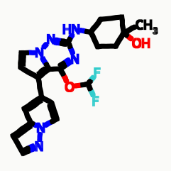 CC1(O)CCC(Nc2nc(OC(F)F)c3c(-c4ccn5nccc5c4)ccn3n2)CC1